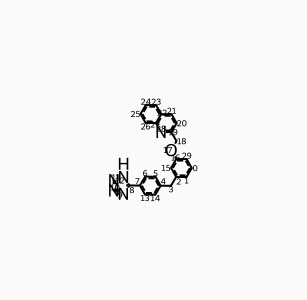 c1cc(Cc2ccc(-c3nnn[nH]3)cc2)cc(OCc2ccc3ccccc3n2)c1